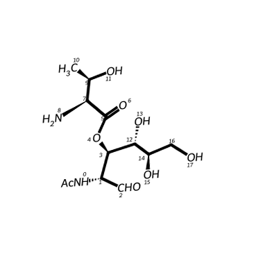 CC(=O)N[C@@H](C=O)[C@@H](OC(=O)[C@@H](N)[C@@H](C)O)[C@H](O)[C@H](O)CO